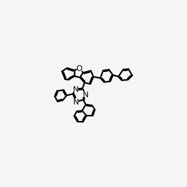 c1ccc(-c2ccc(-c3cc(-c4nc(-c5ccccc5)nc(-c5cccc6ccccc56)n4)c4c(c3)oc3ccccc34)cc2)cc1